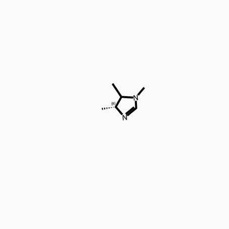 CC1[C@@H](C)N=CN1C